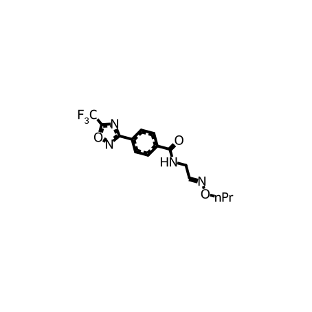 CCCO/N=C/CNC(=O)c1ccc(-c2noc(C(F)(F)F)n2)cc1